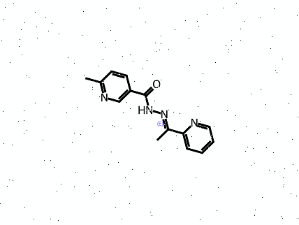 C/C(=N\NC(=O)c1ccc(C)nc1)c1ccccn1